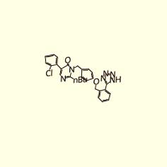 CCCCc1ncc(-c2ccccc2Cl)c(=O)n1Cc1ccc(OCc2ccccc2-c2nnn[nH]2)cc1